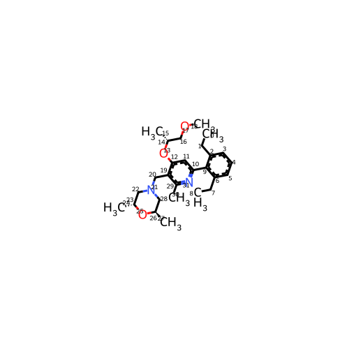 CCc1cccc(CC)c1-c1cc(O[C@H](C)COC)c(CN2C[C@@H](C)O[C@H](C)C2)c(C)n1